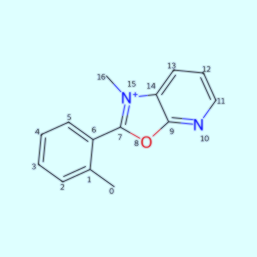 Cc1ccccc1-c1oc2ncccc2[n+]1C